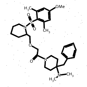 COc1cc(C)c(S(=O)(=O)N2CCCCC2COCC(=O)N2CCC(Cc3ccccc3)(N(C)C)CC2)c(C)c1